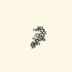 CC1(c2ccccc2)C(=O)N(Cc2ccc3ccc(C(=N)N)cc3c2)C(=O)N1Cc1cccc(NC(=O)C(F)(F)F)c1